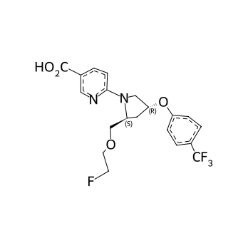 O=C(O)c1ccc(N2C[C@H](Oc3ccc(C(F)(F)F)cc3)C[C@H]2COCCF)nc1